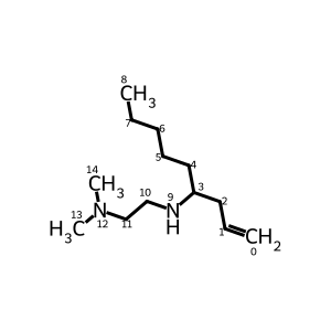 C=CCC(CCCCC)NCCN(C)C